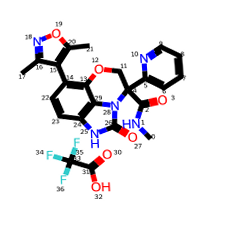 CNC(=O)C1(c2ccccn2)COc2c(-c3c(C)noc3C)ccc3[nH]c(=O)n1c23.O=C(O)C(F)(F)F